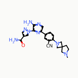 CN1CCC2(C1)CN(c1ccc(-c3cnc(N)c(-n4cc(C(N)=O)cn4)n3)cc1C#N)C2